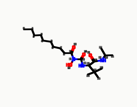 CCCCCCCCCC(=O)N(O)C(=O)NC(C(=O)NC(C)C)C(C)(C)C